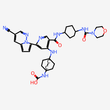 N#Cc1cnn2c(-c3cc(NC45CCC(NC(=O)O)(CC4)CC5)c(C(=O)NC4CCC(NC(=O)N5CCOCC5)CC4)cn3)ccc2c1